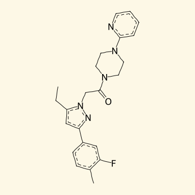 CCc1cc(-c2ccc(C)c(F)c2)nn1CC(=O)N1CCN(c2ccccn2)CC1